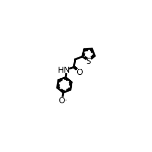 [O]c1ccc(NC(=O)Cc2cccs2)cc1